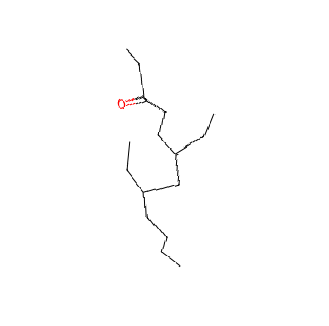 CCCCC(CC)CC(CC)CCC(=O)CC